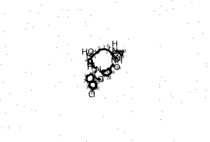 C[C@@H]1C/C=C/[C@H](O)[C@@H]2CC[C@H]2CN2C[C@@]3(CCCc4cc(Cl)ccc43)COc3ccc(cc32)C(=O)NS(=O)(=O)[C@H]1NC1CC1